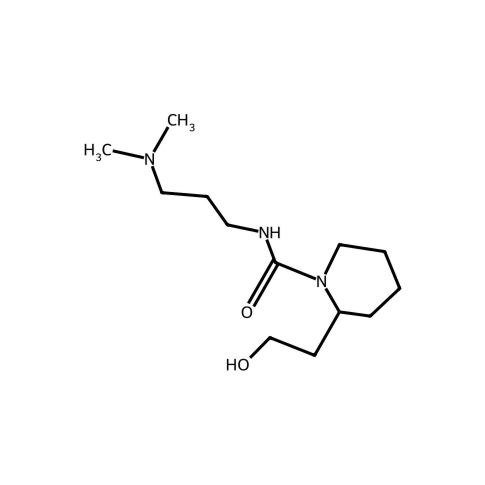 CN(C)CCCNC(=O)N1CCCCC1CCO